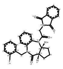 O=C1c2ccccc2C(=O)N1CC(=O)N1c2ccccc2N(Cc2ccccc2F)C(=O)[C@H]2CCC[C@H]21